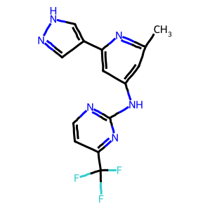 Cc1cc(Nc2nccc(C(F)(F)F)n2)cc(-c2cn[nH]c2)n1